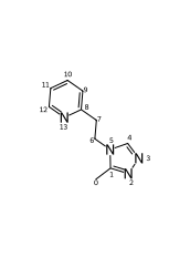 Cc1nncn1CCc1ccccn1